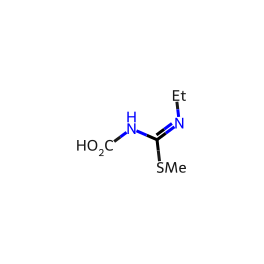 CCN=C(NC(=O)O)SC